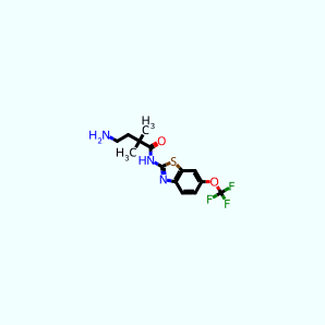 CC(C)(CCN)C(=O)Nc1nc2ccc(OC(F)(F)F)cc2s1